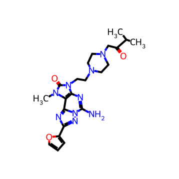 CC(C)C(=O)CN1CCN(CCn2c(=O)n(C)c3c2nc(N)n2nc(-c4ccco4)nc32)CC1